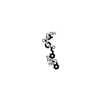 COc1cc(CCC(=O)N2CCCN(C(=O)N(C)CC(C)C(=O)O)CC2)ccc1NC(=O)Nc1ccccc1C